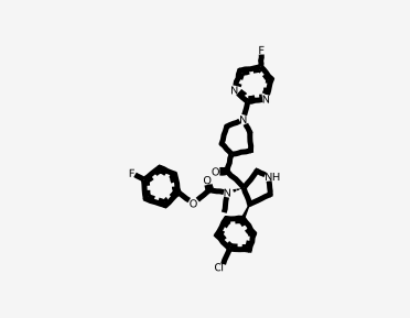 CN(C(=O)Oc1ccc(F)cc1)[C@]1(C(=O)C2CCN(c3ncc(F)cn3)CC2)CNC[C@H]1c1ccc(Cl)cc1